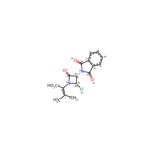 CC(C)=C(C(=O)O)N1C(=O)[C@H](N2C(=O)c3ccccc3C2=O)[C@H]1Cl